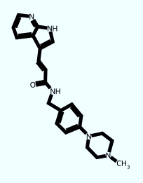 CN1CCN(c2ccc(CNC(=O)C=Cc3c[nH]c4ncccc34)cc2)CC1